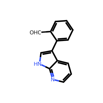 O=Cc1ccccc1-c1c[nH]c2ncccc12